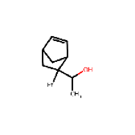 CCC1(C(C)O)CC2C=CC1C2